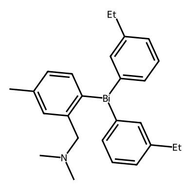 CCc1ccc[c]([Bi]([c]2cccc(CC)c2)[c]2ccc(C)cc2CN(C)C)c1